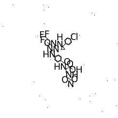 CN(C)C(=O)C(=O)NCC(NC(=O)c1ccc(Nc2nc(NC3(c4ccc(Cl)cc4)CC3)nc(OCC(F)(F)F)n2)cc1)C(=O)O